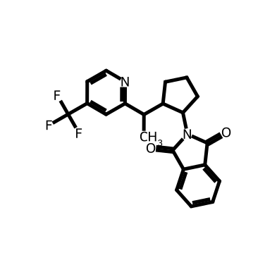 CC(c1cc(C(F)(F)F)ccn1)C1CCCC1N1C(=O)c2ccccc2C1=O